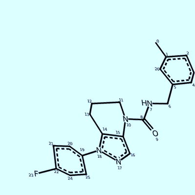 Cc1cccc(CNC(=O)N2CCCc3c2cnn3-c2ccc(F)cc2)c1